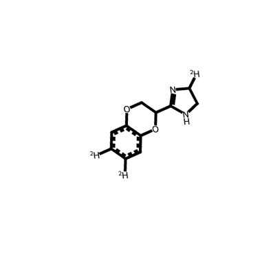 [2H]c1cc2c(cc1[2H])OC(C1=NC([2H])CN1)CO2